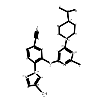 Cc1nc(Oc2cc(C#N)ccc2-n2cc(O)cn2)cc(N2CCC(C(C)C)CC2)n1